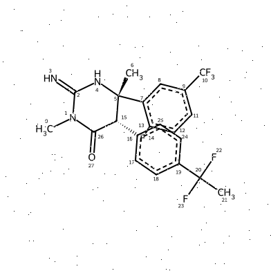 CN1C(=N)N[C@](C)(c2cc(C(F)(F)F)ccc2F)[C@H](c2ccc(C(C)(F)F)cc2)C1=O